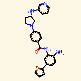 Nc1ccc(-c2cccs2)cc1NC(=O)c1ccc(N2CC[C@H](Nc3cccnc3)C2)cc1